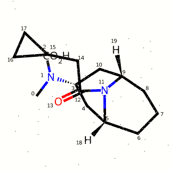 CN(C(=O)O)[C@H]1C[C@H]2CCC[C@@H](C1)N2C(=O)CC1CC1